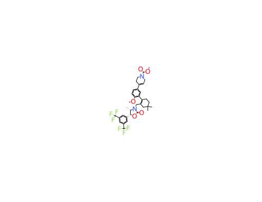 COC(=O)N1CC=C(c2ccc(OC)c(C3=C(CN4C(=O)O[C@H](c5cc(C(F)(F)F)cc(C(F)(F)F)c5)[C@@H]4C)CC(C)(C)CC3)c2)CC1